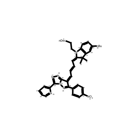 CCCCCCCCCCCCN1/C(=C/C=C/C=c2/c(-c3ccc([N+](=O)[O-])cc3)nn3c(-c4ccccn4)nnc23)C(C)(C)c2cc(CCCC)ccc21